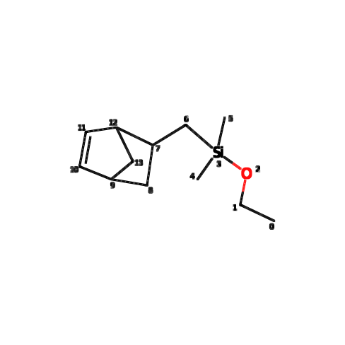 CCO[Si](C)(C)CC1CC2C=CC1C2